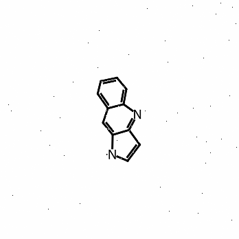 C1=Cc2nc3ccccc3cc2[N]1